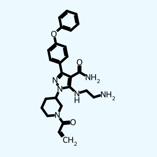 C=CC(=O)N1CCCC(n2nc(-c3ccc(Oc4ccccc4)cc3)c(C(N)=O)c2NCCN)C1